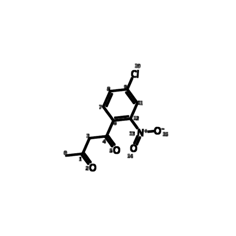 CC(=O)CC(=O)c1ccc(Cl)cc1[N+](=O)[O-]